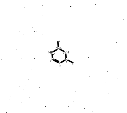 CN1P=NP[N+](C)P1